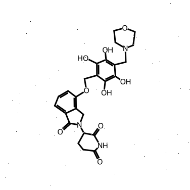 O=C1CCC(N2Cc3c(OCc4c(O)c(O)c(CN5CCOCC5)c(O)c4O)cccc3C2=O)C(=O)N1